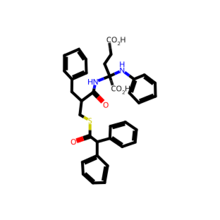 O=C(O)CCC(NC(=O)C(CSC(=O)C(c1ccccc1)c1ccccc1)Cc1ccccc1)(Nc1ccccc1)C(=O)O